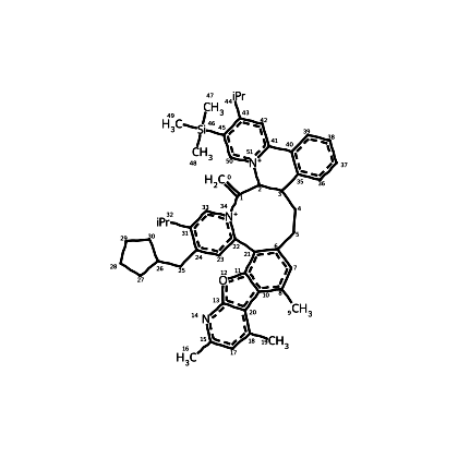 C=C1C2C(CCc3cc(C)c4c(oc5nc(C)cc(C)c54)c3-c3cc(CC4CCCC4)c(C(C)C)c[n+]31)c1ccccc1-c1cc(C(C)C)c([Si](C)(C)C)c[n+]12